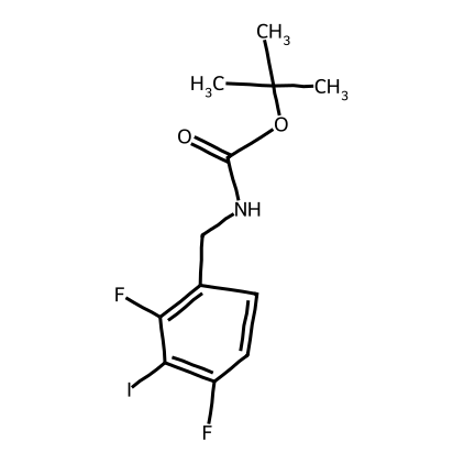 CC(C)(C)OC(=O)NCc1ccc(F)c(I)c1F